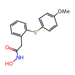 COc1ccc(Sc2ccccc2CC(=O)NO)cc1